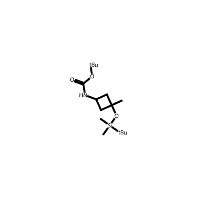 CC(C)(C)OC(=O)NC1CC(C)(O[Si](C)(C)C(C)(C)C)C1